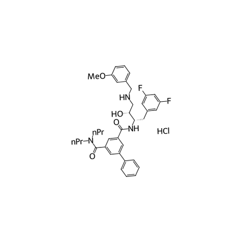 CCCN(CCC)C(=O)c1cc(C(=O)N[C@@H](Cc2cc(F)cc(F)c2)[C@H](O)CNCc2cccc(OC)c2)cc(-c2ccccc2)c1.Cl